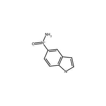 N[N+](=O)c1ccc2c(c1)C=C[N]2